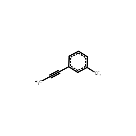 CC#Cc1cccc(C(F)(F)F)c1